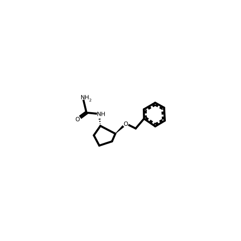 NC(=O)N[C@H]1CCC[C@@H]1OCc1ccccc1